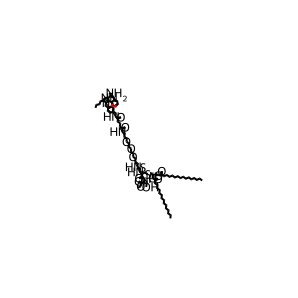 CCCCCCCCCCCCCCCC(=O)OC[C@H](CSCC(NC(=S)NCCCOCCOCCOCCCNC(=O)CCCC(=O)NCc1ccc(Cn2c(CCCC)nc3c(N)nc4ccccc4c32)cc1)C(=O)N[C@@H](CO)C(=O)OC)OC(=O)CCCCCCCCCCCCCCC